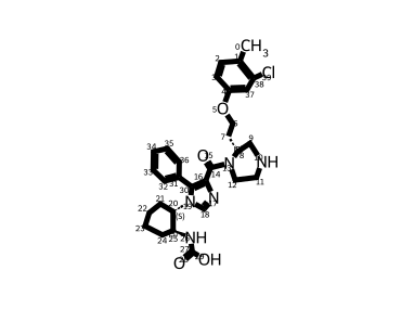 Cc1ccc(OCC[C@@H]2CNCCN2C(=O)c2ncn([C@H]3CCCC[C@@H]3NC(=O)O)c2-c2ccccc2)cc1Cl